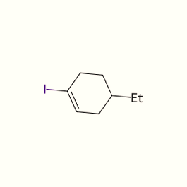 CCC1CC=C(I)CC1